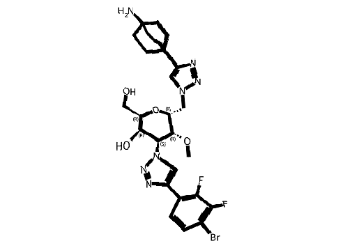 CO[C@@H]1[C@@H](n2cc(-c3ccc(Br)c(F)c3F)nn2)[C@@H](O)[C@@H](CO)O[C@@H]1Cn1cc(C23CCC(N)(CC2)CC3)nn1